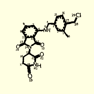 Cc1cc(CNc2cccc3c2C(=O)N(C2CCC(=O)NC2=O)C3=O)ccc1CCl